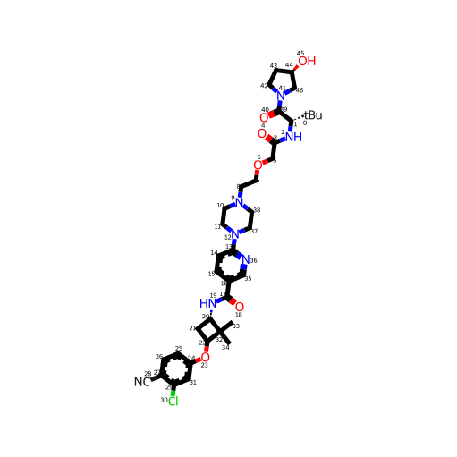 CC(C)(C)[C@H](NC(=O)COCCN1CCN(c2ccc(C(=O)N[C@H]3CC(Oc4ccc(C#N)c(Cl)c4)C3(C)C)cn2)CC1)C(=O)N1CC[C@@H](O)C1